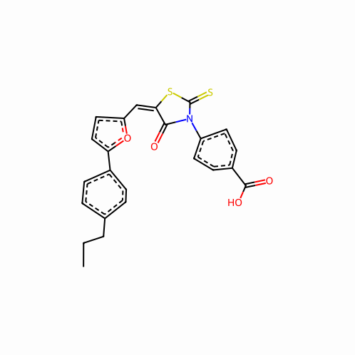 CCCc1ccc(-c2ccc(C=C3SC(=S)N(c4ccc(C(=O)O)cc4)C3=O)o2)cc1